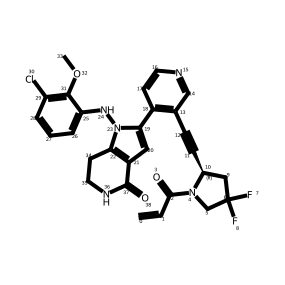 C=CC(=O)N1CC(F)(F)C[C@@H]1C#Cc1cnccc1-c1cc2c(n1Nc1cccc(Cl)c1OC)CCNC2=O